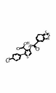 O=C(Nc1csc(-c2ccc(Cl)cc2)c1C(=O)O)c1ccc2snnc2c1